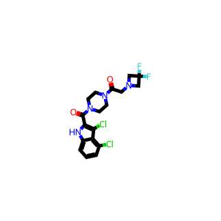 O=C(CN1CC(F)(F)C1)N1CCN(C(=O)c2[nH]c3cccc(Cl)c3c2Cl)CC1